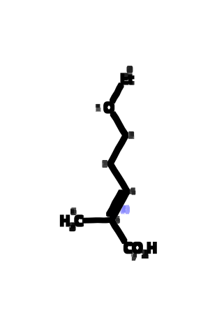 CCOCC/C=C(\C)C(=O)O